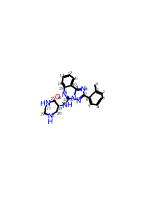 Cc1ccccc1-c1nc2c3ccccc3nc(N[C@H]3CNCCNC3=O)n2n1